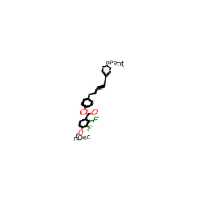 CCCCCCCCCCCOc1ccc(C(=O)Oc2ccc(CCC=CC3CCC(CCCCC)CC3)cc2)c(F)c1F